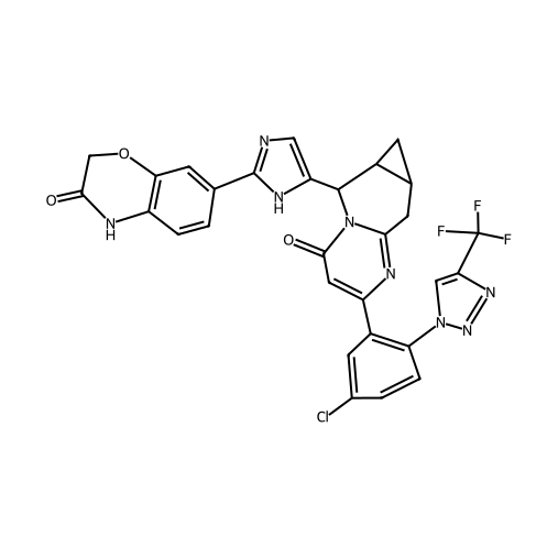 O=C1COc2cc(-c3ncc(C4C5CC5Cc5nc(-c6cc(Cl)ccc6-n6cc(C(F)(F)F)nn6)cc(=O)n54)[nH]3)ccc2N1